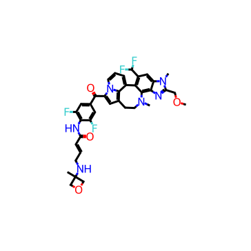 COCc1nc2c3c(c(C(F)F)cc2n1C)-c1cccn2c(C(=O)c4cc(F)c(NC(=O)C=CCNC5(C)COC5)c(F)c4)cc(c12)CCN3C